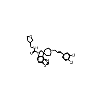 O=C(NCC1CCOC1)N1CC2(CCN(C/C=C/c3ccc(Cl)c(Cl)c3)CC2)c2c1ccc1scnc21